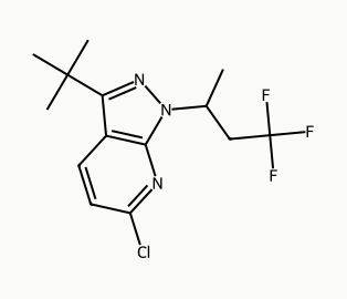 CC(CC(F)(F)F)n1nc(C(C)(C)C)c2ccc(Cl)nc21